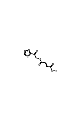 COC(=O)/C=C/C(=O)OCC(=O)c1nncs1